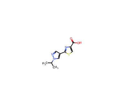 CC(C)n1cc(-c2nc(C(=O)O)cs2)cn1